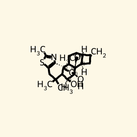 C=C1C[C@@H]2[C@H]1CCC1[C@@]34CO[C@@](O)([C@@H](O)C3C(C)(C)Cc3sc(C)nc34)[C@]12C(C)=O